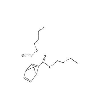 CCCCOC(=O)C1=C(C(=O)OCCCC)C2C=CC1C2